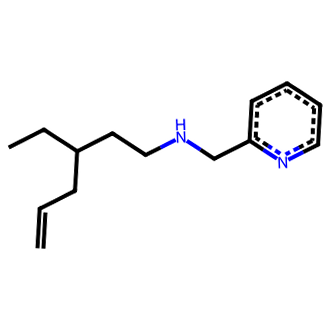 C=CCC(CC)CCNCc1ccccn1